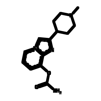 CN1CCC(c2cn3cccc(OC(N)=O)c3n2)CC1